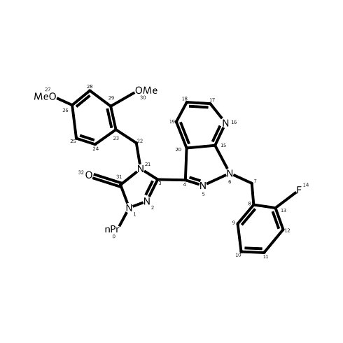 CCCn1nc(-c2nn(Cc3ccccc3F)c3ncccc23)n(Cc2ccc(OC)cc2OC)c1=O